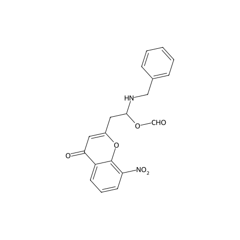 O=COC(Cc1cc(=O)c2cccc([N+](=O)[O-])c2o1)NCc1ccccc1